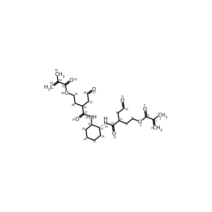 C=C(C)C(=O)OCCC(CC=O)C(=O)N[C@@H]1CCCC[C@H]1NC(=O)C(CC=O)CCOC(=O)C(=C)C